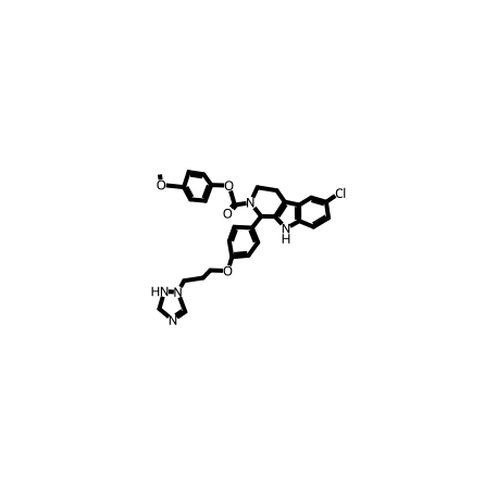 COc1ccc(OC(=O)N2CCc3c([nH]c4ccc(Cl)cc34)C2c2ccc(OCCCN3C=NCN3)cc2)cc1